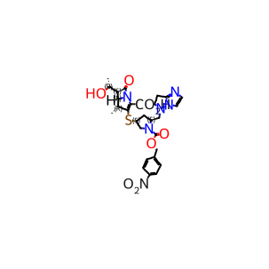 C[C@@H](O)[C@H]1C(=O)N2C(C(=O)O)=C(S[C@H]3C[C@@H](CN4CCc5nccn54)N(C(=O)OCc4ccc([N+](=O)[O-])cc4)C3)[C@H](C)[C@H]12